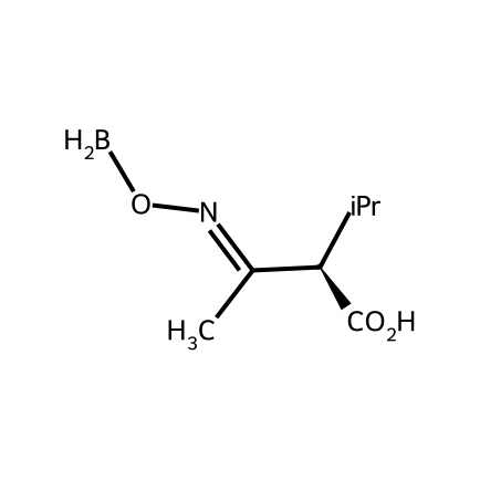 BO/N=C(\C)[C@H](C(=O)O)C(C)C